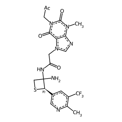 CC(=O)Cn1c(=O)c2c(ncn2CC(=O)NC2(N)CS[C@@H]2c2cnc(C)c(C(F)(F)F)c2)n(C)c1=O